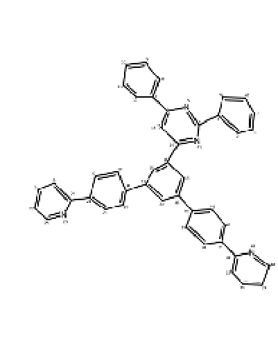 c1ccc(-c2nc(-c3ccccc3)nc(-c3cc(-c4ccc(-c5ccccn5)cc4)cc(-c4ccc(-c5ccccn5)cc4)c3)n2)cc1